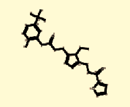 CCC1C(CCC(=O)Cc2cc(C(C)(C)C)ccc2C)=CC=C1CCC(=O)c1ccco1